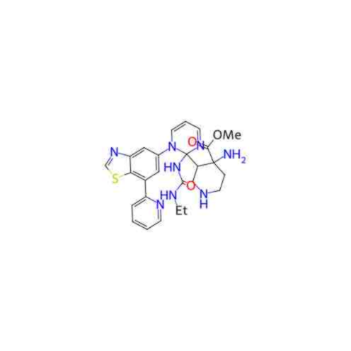 CCNC(=O)NC1(C2CNCCC2(N)C(=O)OC)N=CC=CN1c1cc(-c2ccccn2)c2scnc2c1